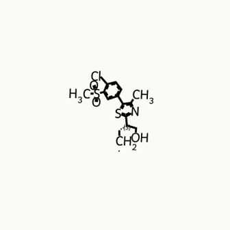 [CH2]C[C@@H](CO)c1nc(C)c(-c2ccc(Cl)c(S(C)(=O)=O)c2)s1